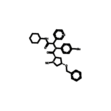 CC(C)(C)c1ccc(N(C(=O)[C@H]2C[C@H](OCc3ccccc3)CN2C#N)C(C(=O)NC2CCCCC2)c2cccnc2)cc1